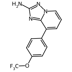 Nc1nc2c(-c3ccc(OC(F)(F)F)cc3)cccn2n1